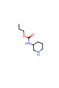 CCCOC(=O)NC1CCCNC1